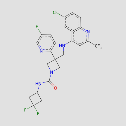 O=C(NC1CC(F)(F)C1)N1CC(CNc2cc(C(F)(F)F)nc3ccc(Cl)cc23)(c2ccc(F)cn2)C1